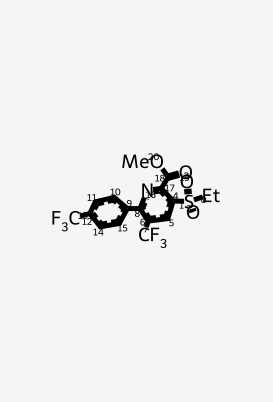 CCS(=O)(=O)c1cc(C(F)(F)F)c(-c2ccc(C(F)(F)F)cc2)nc1C(=O)OC